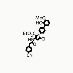 CCOC(=O)c1c(NC(=O)Cc2ccc(C#N)cc2)cc(Cl)n1-c1ccc(-c2cccc(OC)c2O)cc1